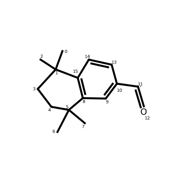 CC1(C)CCC(C)(C)c2cc([C]=O)ccc21